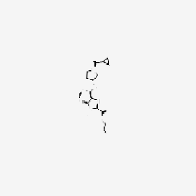 CCn1c(C(=O)NCCC(F)(F)F)nc2c(N[C@H]3CCN(C(=O)C4CC4)C3)ncnc21